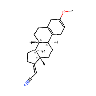 COC1=CCC2=C(CC[C@@H]3[C@@H]2CC[C@]2(C)C(=CC#N)CC[C@@H]32)C1